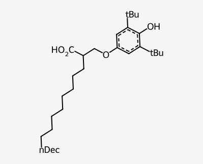 CCCCCCCCCCCCCCCCCCC(COc1cc(C(C)(C)C)c(O)c(C(C)(C)C)c1)C(=O)O